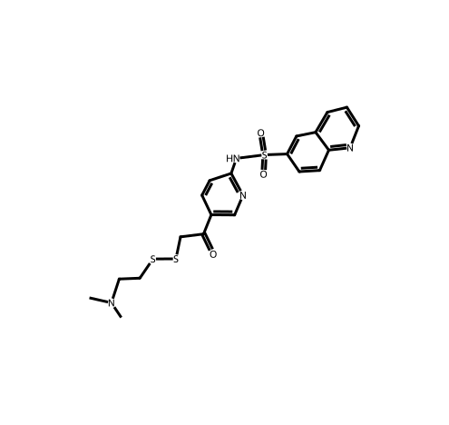 CN(C)CCSSCC(=O)c1ccc(NS(=O)(=O)c2ccc3ncccc3c2)nc1